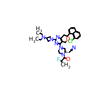 C=C(F)C(=O)N1CCN(c2nc(N3CC(N(CC)CC)C3)nc3c2COC(c2cccc4cccc(Cl)c24)C3)C[C@@H]1CC#N